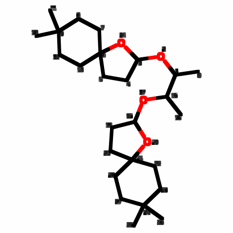 CC(OC1CCC2(CCC(C)(C)CC2)O1)C(C)OC1CCC2(CCC(C)(C)CC2)O1